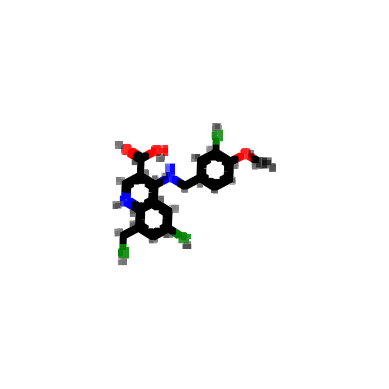 COc1ccc(CNc2c(C(=O)O)cnc3c(CCl)cc(Br)cc23)cc1Cl